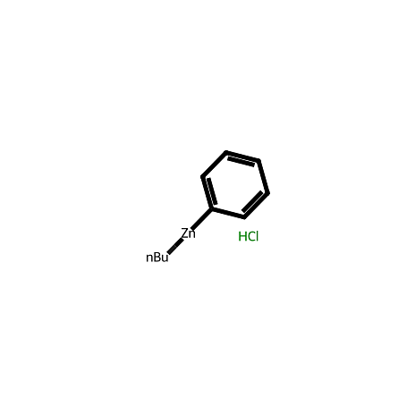 CCC[CH2][Zn][c]1ccccc1.Cl